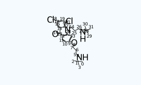 CC(C)(C)NCCCOc1ccc2c(=O)c3cc(Cl)cc(Cl)c3n(CCCNC(C)(C)C)c2c1